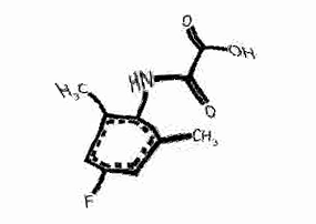 Cc1cc(F)cc(C)c1NC(=O)C(=O)O